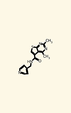 Cc1nc(C)c2c(C(=O)NCc3ccncc3)csc2n1